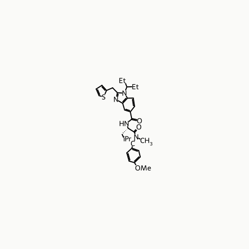 CCC(CC)n1c(Cc2cccs2)nc2cc(C(=O)N[C@@H](CC(C)C)C(=O)N(C)Cc3ccc(OC)cc3)ccc21